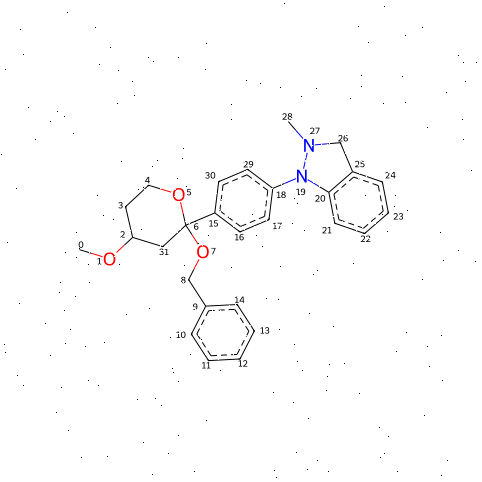 COC1CCOC(OCc2ccccc2)(c2ccc(N3c4ccccc4CN3C)cc2)C1